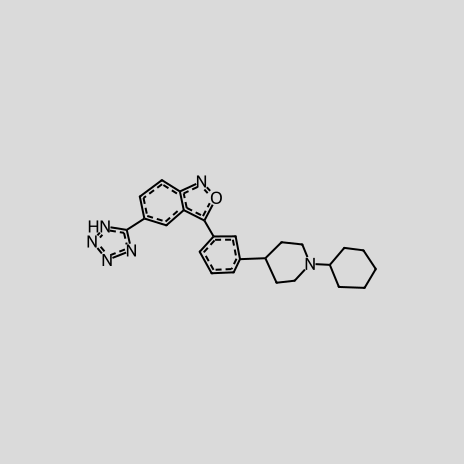 c1cc(-c2onc3ccc(-c4nnn[nH]4)cc23)cc(C2CCN(C3CCCCC3)CC2)c1